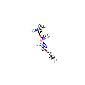 COc1cc(F)c(COC[C@@H](C)NC(=O)c2cnn3c4c(c(Cl)nc23)CCN4COCC[Si](C)(C)C)cc1N